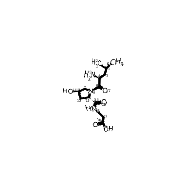 CC(C)C[C@H](N)C(=O)N1C[C@H](O)C[C@H]1C(=O)NCC(=O)O